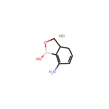 Cl.NC1=C2B(O)OCC2CC=C1